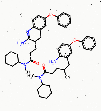 CN(C(=O)CCC(C#N)Cc1cc(Oc2ccccc2)ccc1N)C1CCCCC1.CN(C(=O)CCC1Cc2cc(Oc3ccccc3)ccc2N=C1N)C1CCCCC1